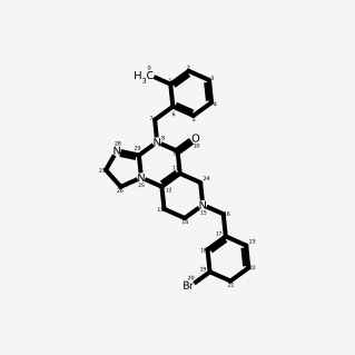 Cc1ccccc1CN1C(=O)C2=C(CCN(CC3=CC(Br)CC=C3)C2)N2CCN=C12